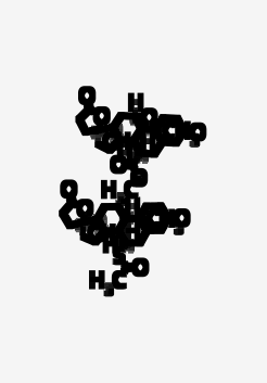 CC(=O)S[C@@H]1CC2=CC(=O)CC[C@]2(C)[C@H]2CC[C@@]3(C)[C@@H](CC[C@@]34CCC(=O)O4)[C@H]12.COC(=O)[C@@H]1CC2=CC(=O)CC[C@]2(C)[C@@]23O[C@@H]2C[C@@]2(C)[C@@H](CC[C@@]24CCC(=O)O4)[C@H]13